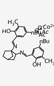 CC(=O)[O-].CC(=O)[O-].CCCCc1cc(C)c(O)c(C=NC2CC3CCC2(N=Cc2cc(CCCC)cc(C)c2O)C3)c1.[Co+2]